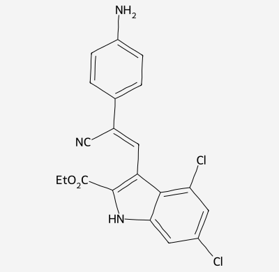 CCOC(=O)c1[nH]c2cc(Cl)cc(Cl)c2c1C=C(C#N)c1ccc(N)cc1